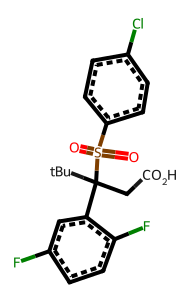 CC(C)(C)C(CC(=O)O)(c1cc(F)ccc1F)S(=O)(=O)c1ccc(Cl)cc1